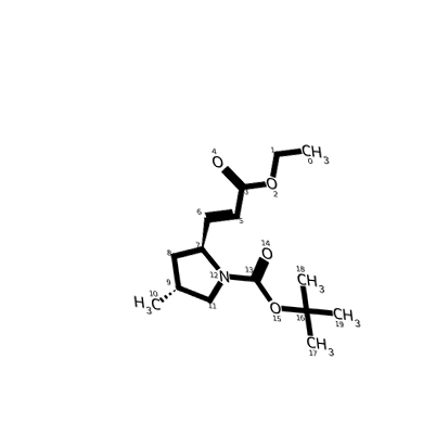 CCOC(=O)/C=C/[C@@H]1C[C@@H](C)CN1C(=O)OC(C)(C)C